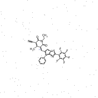 CCN1C(=O)C(C#N)=C(C)/C(=C/c2cc3sc(-c4c(F)c(F)c(F)c(F)c4F)nc3n2-c2ccccc2)C1=O